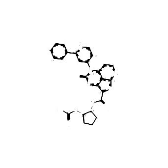 C=c1[nH]c2c(C(=O)N[C@H]3CCC[C@H]3NC(=O)CC)sc3nccc(c32)n1-c1ccnc(-c2ccccc2)c1